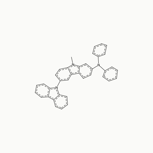 Cn1c2ccc(-n3c4ccccc4c4ccccc43)cc2c2ccc(N(c3ccccc3)c3ccccc3)cc21